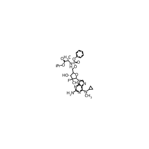 CC(C)OC(=O)[C@H](C)N[P@](=O)(OCC1O[C@@H](n2cnc3c(N(C)C4CC4)nc(N)nc32)[C@](C)(F)[C@@H]1O)Oc1ccccc1